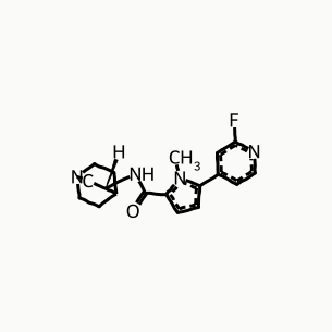 Cn1c(C(=O)N[C@H]2CN3CCC2CC3)ccc1-c1ccnc(F)c1